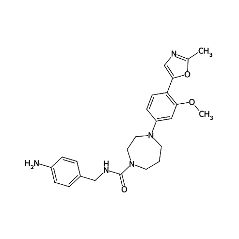 COc1cc(N2CCCN(C(=O)NCc3ccc(N)cc3)CC2)ccc1-c1cnc(C)o1